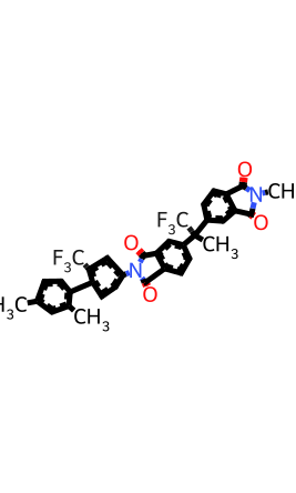 Cc1ccc(-c2ccc(N3C(=O)c4ccc(C(C)(c5ccc6c(c5)C(=O)N(C)C6=O)C(F)(F)F)cc4C3=O)cc2C(F)(F)F)c(C)c1